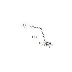 CCCCCCCC/C=C\CCCCCCCC[N+](C)(C)C.[OH-]